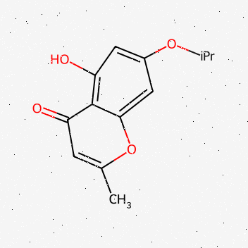 Cc1cc(=O)c2c(O)cc(OC(C)C)cc2o1